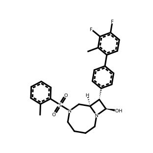 Cc1ccccc1S(=O)(=O)N1CCCCN2[C@H](O)[C@@H](c3ccc(-c4ccc(F)c(F)c4C)cc3)[C@@H]2C1